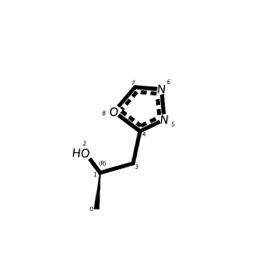 C[C@@H](O)Cc1nnco1